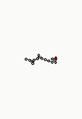 c1ccc(-c2ccc(-n3c4ccccc4c4cc(-c5ccc6c(c5)c5ccccc5n6-c5ccc(-c6ccc(-c7ccc(-c8cccc(C9(c%10ccccc%10-c%10ccccc%10)c%10ccccc%10-c%10ccccc%109)c8)cc7)cc6)cc5)ccc43)cc2)cc1